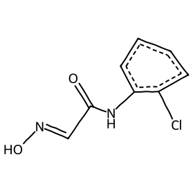 O=C(/C=N/O)Nc1ccccc1Cl